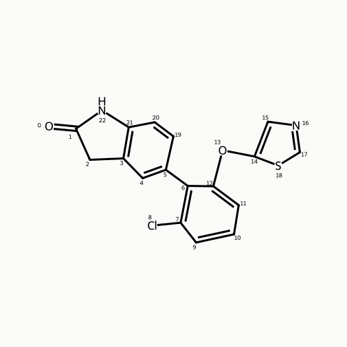 O=C1Cc2cc(-c3c(Cl)cccc3Oc3cncs3)ccc2N1